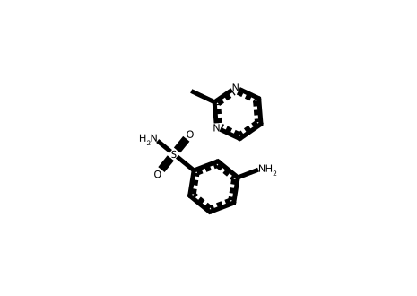 Cc1ncccn1.Nc1cccc(S(N)(=O)=O)c1